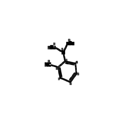 CCCCN(CCCC)c1ccccc1C#N